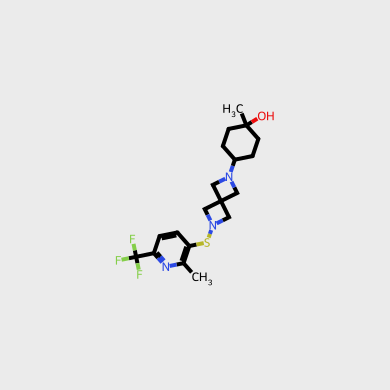 Cc1nc(C(F)(F)F)ccc1SN1CC2(C1)CN(C1CCC(C)(O)CC1)C2